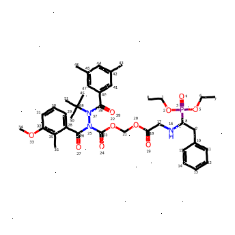 CCOP(=O)(OCC)C(Cc1ccccc1)NCC(=O)OCOC(=O)N(C(=O)c1cccc(OC)c1C)N(C(=O)c1cc(C)cc(C)c1)C(C)(C)C